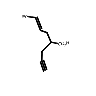 C#CCC(CC=CC(C)C)C(=O)O